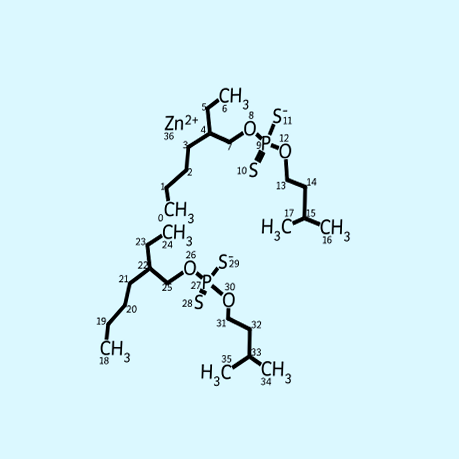 CCCCC(CC)COP(=S)([S-])OCCC(C)C.CCCCC(CC)COP(=S)([S-])OCCC(C)C.[Zn+2]